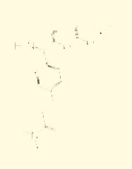 CN(C)C(=O)COc1ccc(C(N)C(=O)OC(=O)OC(C)(C)C)cc1